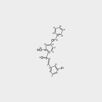 O=C(C=Cc1cccc(F)c1)c1ccc(OCc2ccccc2)cc1O